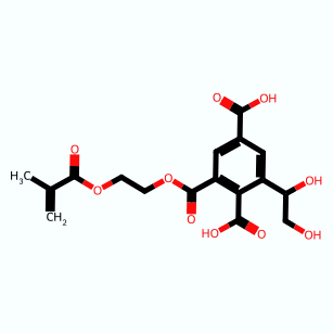 C=C(C)C(=O)OCCOC(=O)c1cc(C(=O)O)cc(C(O)CO)c1C(=O)O